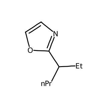 CCCC(CC)c1ncco1